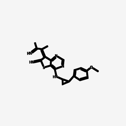 COc1ccc(C2CC2Nc2ncnc3c2SC(=N)/C3=C(/C)C(C)=N)cc1